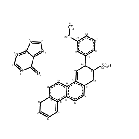 O=C1N=CN=C2N=CN=C12.O=S(=O)(O)C1Cc2ccc3c4c(ccc3c2=CC1c1cccc(OC(F)(F)F)c1)CC=CC=4